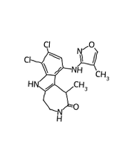 Cc1conc1Nc1cc(Cl)c(Cl)c2[nH]c3c(c12)C(C)C(=O)NCC3